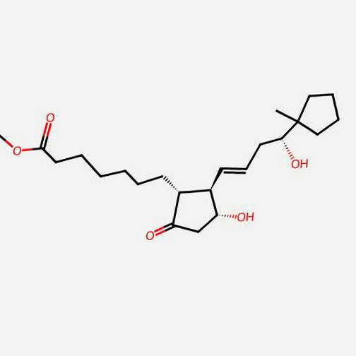 COC(=O)CCCCCC[C@H]1C(=O)C[C@@H](O)[C@@H]1/C=C/C[C@@H](O)C1(C)CCCC1